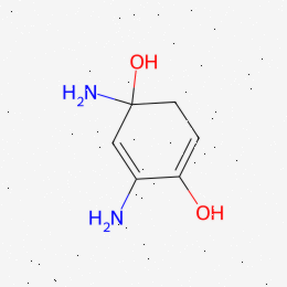 NC1=CC(N)(O)CC=C1O